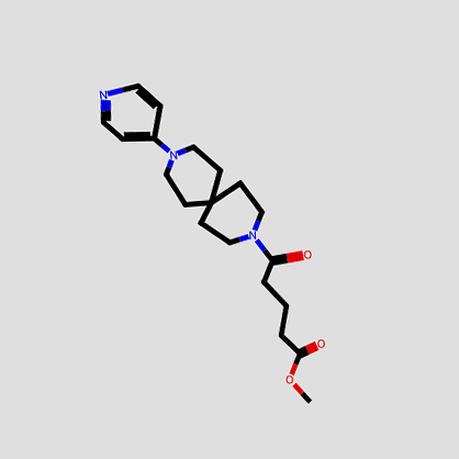 COC(=O)CCCC(=O)N1CCC2(CC1)CCN(c1ccncc1)CC2